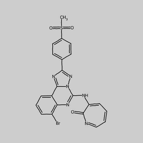 CS(=O)(=O)c1ccc(-c2nc3c4cccc(Br)c4nc(Nc4ccccnc4=O)n3n2)cc1